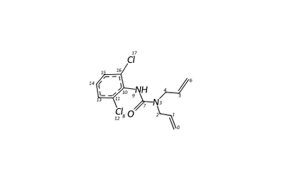 C=CCN(CC=C)C(=O)Nc1c(Cl)cccc1Cl